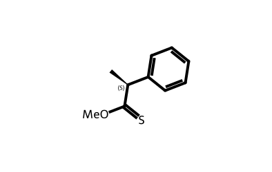 COC(=S)[C@@H](C)c1ccccc1